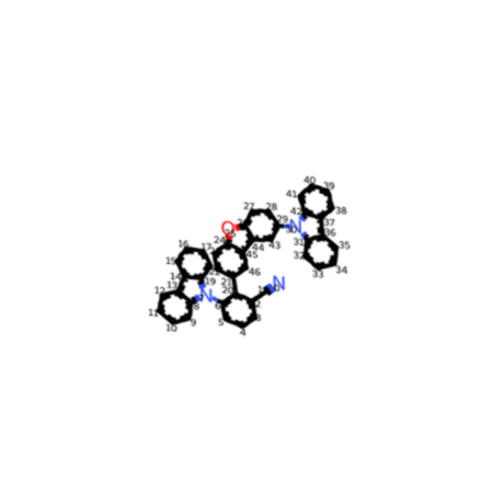 N#Cc1cccc(-n2c3ccccc3c3ccccc32)c1-c1ccc2oc3ccc(-n4c5ccccc5c5ccccc54)cc3c2c1